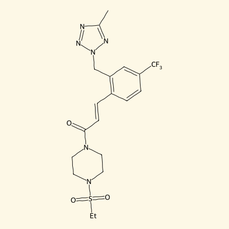 CCS(=O)(=O)N1CCN(C(=O)C=Cc2ccc(C(F)(F)F)cc2Cn2nnc(C)n2)CC1